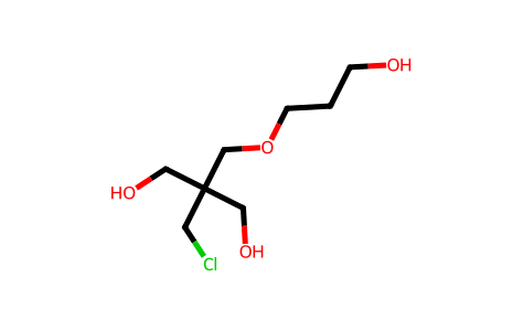 OCCCOCC(CO)(CO)CCl